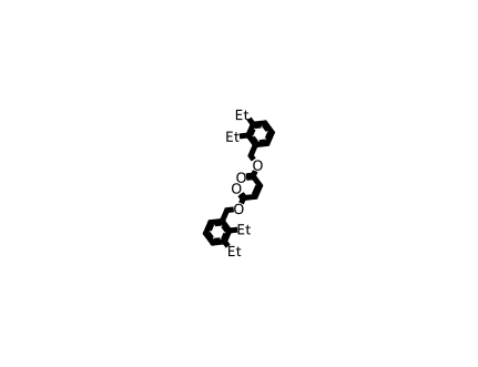 CCc1cccc(COC(=O)/C=C\C(=O)OCc2cccc(CC)c2CC)c1CC